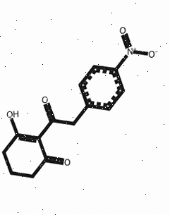 O=C1CCCC(O)=C1C(=O)Cc1ccc([N+](=O)[O-])cc1